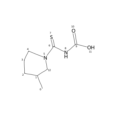 CC1CCCN(C(=S)NC(=O)O)C1